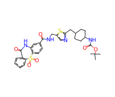 CC(C)(C)OC(=O)NC1CCC(Cc2ncc(CNC(=O)c3ccc4c(c3)NC(=O)c3ccccc3S4(=O)=O)s2)CC1